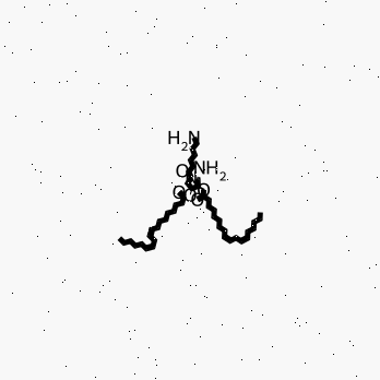 CCCCC/C=C\C/C=C\CCCCCCCC(=O)O[C@@H]1CN(C(=O)[C@@H](N)CCCCN)C[C@H]1OC(=O)CCCCCCC/C=C\C/C=C\CCCCC